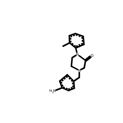 Cc1ccccc1N1CCN(Cc2ccc(N)cc2)CC1=O